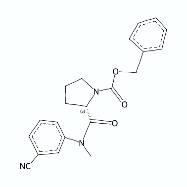 CN(C(=O)[C@@H]1CCCN1C(=O)OCc1ccccc1)c1cccc(C#N)c1